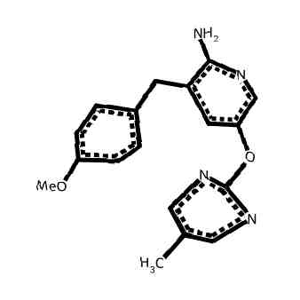 COc1ccc(Cc2cc(Oc3ncc(C)cn3)cnc2N)cc1